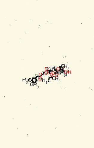 CCC(C)OCC(C)(COC(=O)C(C)(CC)OC(C)(CC)CCO)C(=O)OCCOC(=O)Cc1ccc(C)c(C)c1